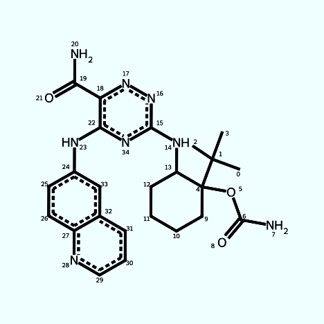 CC(C)(C)C1(OC(N)=O)CCCCC1Nc1nnc(C(N)=O)c(Nc2ccc3ncccc3c2)n1